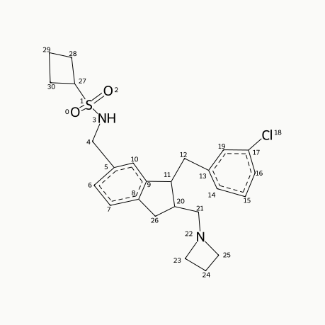 O=S(=O)(NCc1ccc2c(c1)C(Cc1cccc(Cl)c1)C(CN1CCC1)C2)C1CCC1